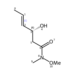 C/C=C/[C@H](O)CC(=O)N(C)OC